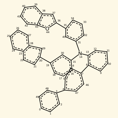 c1ccc(-c2ccc(-c3ccccc3N(c3cccc(-c4ccc5ccccc5c4)c3)c3cccc(-c4cc5ccccc5o4)c3)cc2)cc1